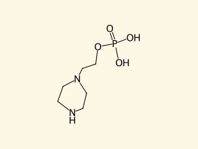 O=P(O)(O)OCCN1CCNCC1